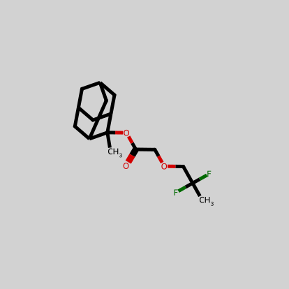 CC(F)(F)COCC(=O)OC1(C)C2CC3CC(C2)CC1C3